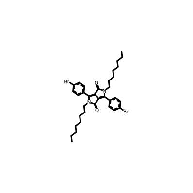 CCCCCCCCN1C(=O)C2=C(c3ccc(Br)cc3)N(CCCCCCCC)C(=O)C2=C1c1ccc(Br)cc1